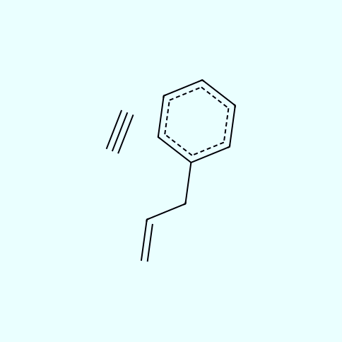 C#C.C=CCc1ccccc1